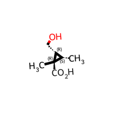 C[C@H]1[C@@H](CO)[C@]1(C)C(=O)O